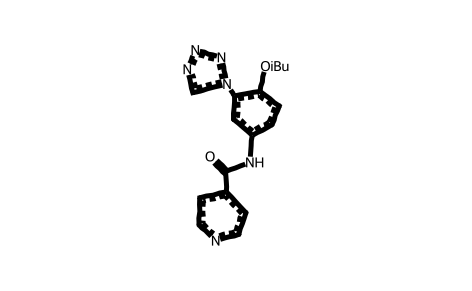 CC(C)COc1ccc(NC(=O)c2ccncc2)cc1-n1cnnn1